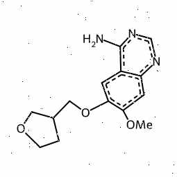 COc1cc2ncnc(N)c2cc1OCC1CCOC1